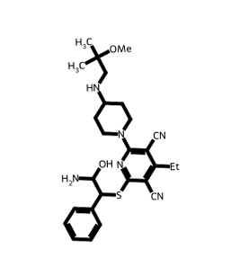 CCc1c(C#N)c(SC(c2ccccc2)C(N)O)nc(N2CCC(NCC(C)(C)OC)CC2)c1C#N